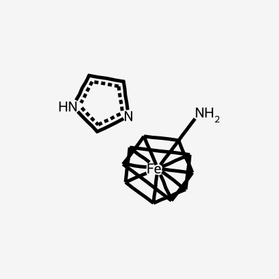 N[C]12[CH]3[CH]4[CH]5[CH]1[Fe]45321678[CH]2[CH]1[CH]6[CH]7[CH]28.c1c[nH]cn1